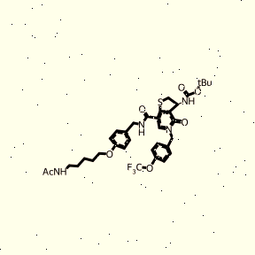 CC(=O)NCCCCCOc1ccc(CNC(=O)c2cn(Cc3ccc(OC(F)(F)F)cc3)c(=O)c3c2SC[C@@H]3NC(=O)OC(C)(C)C)cc1